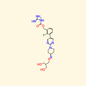 N=C(N)NC(=O)OCc1cccc(-c2cnc(N3CCC(=NOCC(CO)CO)CC3)nc2)c1F